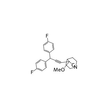 COC1(C#CC(c2ccc(F)cc2)c2ccc(F)cc2)CN2CCC1CC2